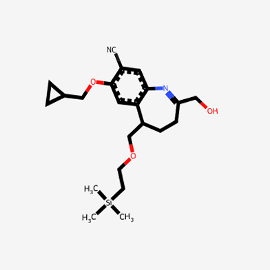 C[Si](C)(C)CCOCC1CCC(CO)=Nc2cc(C#N)c(OCC3CC3)cc21